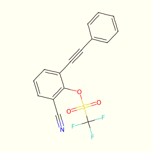 N#Cc1cccc(C#Cc2ccccc2)c1OS(=O)(=O)C(F)(F)F